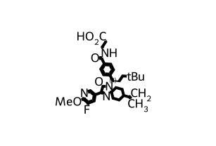 C=C(C)C1CCC2(CC1)N=C(c1cnc(OC)c(F)c1)C(=O)N2[C@H](CCC(C)(C)C)c1ccc(C(=O)NCCC(=O)O)cc1